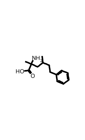 CC(CCc1ccccc1)CC(C)(N)C(=O)O